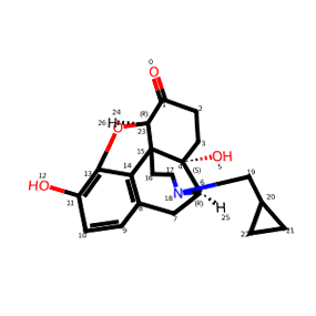 O=C1CC[C@@]2(O)[C@H]3Cc4ccc(O)c5c4C2(CCN3CC2CC2)[C@H]1O5